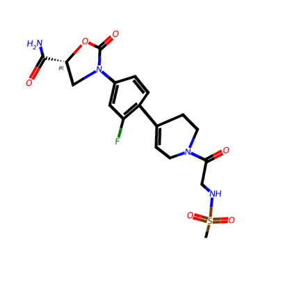 CS(=O)(=O)NCC(=O)N1CC=C(c2ccc(N3C[C@H](C(N)=O)OC3=O)cc2F)CC1